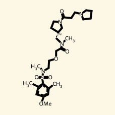 COc1cc(C)c(S(=O)(=O)N(C)CCOCC(=O)N(C)C[C@@H]2CCN(C(=O)CCN3CCCC3)C2)c(C)c1